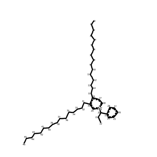 CCCCCCCCCCCCCCCCc1cc[n+](C(CC)c2ccccc2)cc1CCCCCCCCCCCCCCCC